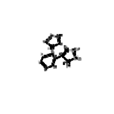 c1ccc(-n2ccnc2)c(-c2nnn[nH]2)c1